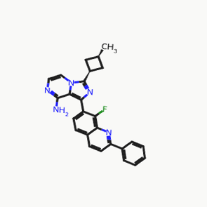 C[C@H]1C[C@@H](c2nc(-c3ccc4ccc(-c5ccccc5)nc4c3F)c3c(N)nccn32)C1